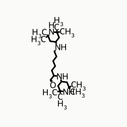 CC1(C)CC(NCCCCCC(C=O)NC2CC(C)(C)NC(C)(C)C2)CC(C)(C)N1